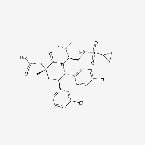 CC(C)[C@@H](CNS(=O)(=O)C1CC1)N1C(=O)[C@@](C)(CC(=O)O)C[C@H](c2cccc(Cl)c2)[C@H]1c1ccc(Cl)cc1